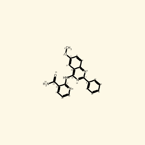 COc1ccc2nc(-c3ccccc3)nc(Nc3ncccc3C(N)=O)c2c1